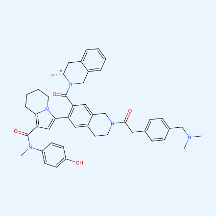 C[C@@H]1Cc2ccccc2CN1C(=O)c1cc2c(cc1-c1cc(C(=O)N(C)c3ccc(O)cc3)c3n1CCCC3)CCN(C(=O)Cc1ccc(CN(C)C)cc1)C2